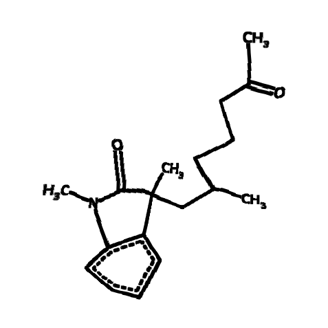 CC(=O)CCCC(C)CC1(C)C(=O)N(C)c2ccccc21